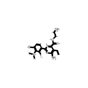 C=Cc1c(N)nc(-c2ccc(Cl)c(N(C)C)c2F)nc1C(=O)OCCO